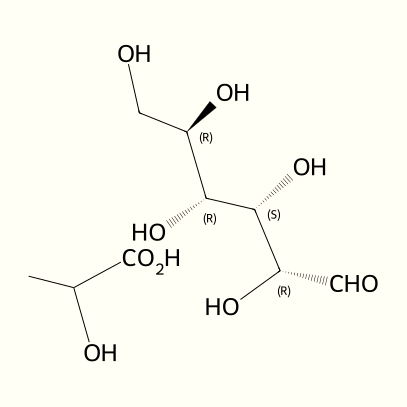 CC(O)C(=O)O.O=C[C@H](O)[C@@H](O)[C@H](O)[C@H](O)CO